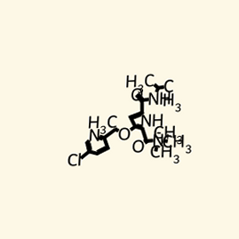 CC(C)NC(=O)c1cc(OC(C)c2ccc(Cl)cn2)c(C(=O)[N+](C)(C)C)[nH]1